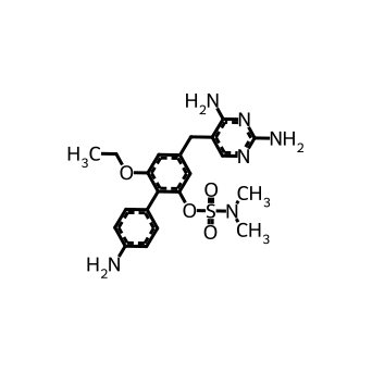 CCOc1cc(Cc2cnc(N)nc2N)cc(OS(=O)(=O)N(C)C)c1-c1ccc(N)cc1